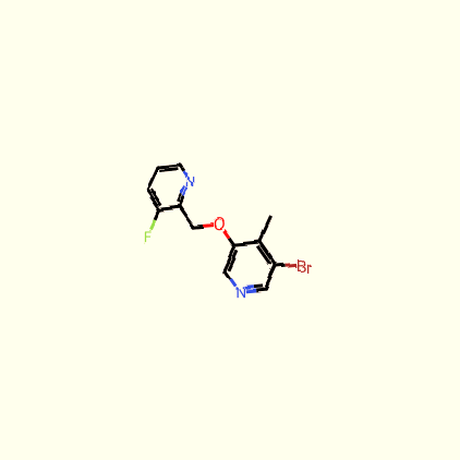 Cc1c(Br)cncc1OCc1ncccc1F